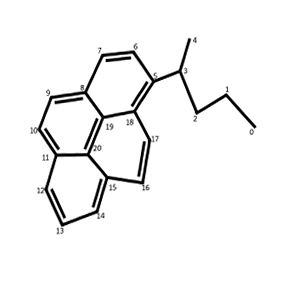 CCCC(C)c1ccc2ccc3cccc4ccc1c2c34